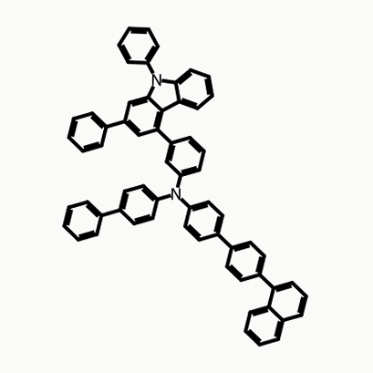 c1ccc(-c2ccc(N(c3ccc(-c4ccc(-c5cccc6ccccc56)cc4)cc3)c3cccc(-c4cc(-c5ccccc5)cc5c4c4ccccc4n5-c4ccccc4)c3)cc2)cc1